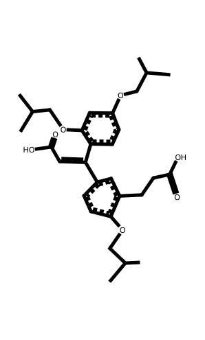 CC(C)COc1ccc(/C(=C\C(=O)O)c2ccc(OCC(C)C)c(CCC(=O)O)c2)c(OCC(C)C)c1